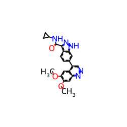 COc1cc2nncc(-c3ccc4c(C(=O)NC5CC5)n[nH]c4c3)c2cc1OC